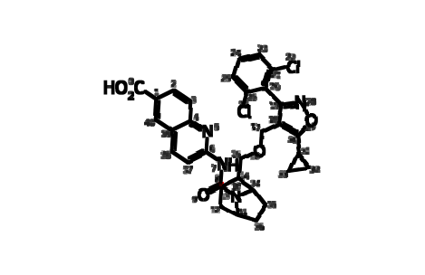 O=C(O)c1ccc2nc(NC(=O)N3C4CCC(COCc5c(-c6c(Cl)cccc6Cl)noc5C5CC5)C3CC4)ccc2c1